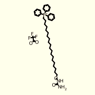 NC(=O)NOCCCCCCCCCCCCCCCCCCCC[P+](c1ccccc1)(c1ccccc1)c1ccccc1.O=C([O-])C(F)(F)F